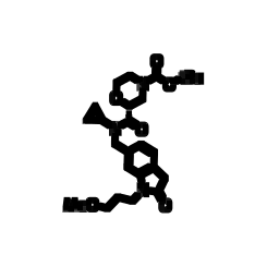 COCCCN1C(=O)Cc2ccc(CN(C(=O)[C@H]3CN(C(=O)OC(C)(C)C)CCO3)C3CC3)cc21